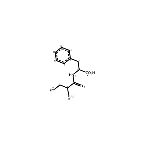 CC(C)CC(C(=O)NC(Cc1ccccc1)C(=O)O)C(C)(C)C